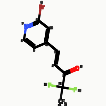 O=C(C=Cc1ccnc(Br)c1)C(F)(F)C(F)(F)F